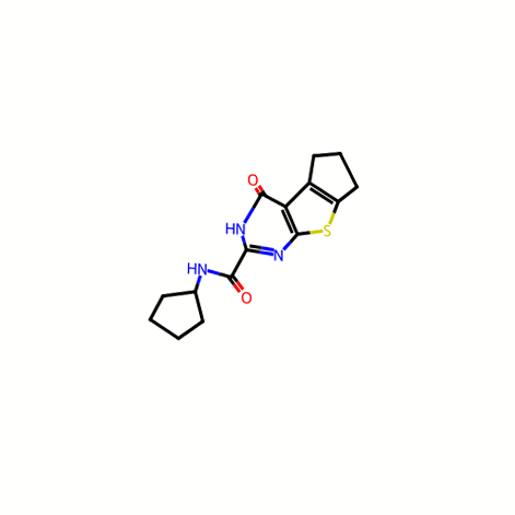 O=C(NC1CCCC1)c1nc2sc3c(c2c(=O)[nH]1)CCC3